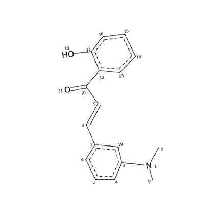 CN(C)c1cccc(/C=C/C(=O)c2ccccc2O)c1